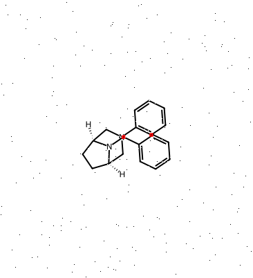 c1ccc(CN2[C@@H]3CC[C@H]2CN(c2ccccc2)C3)cc1